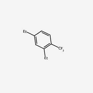 [CH2]Cc1ccc(C(F)(F)F)c(CC)c1